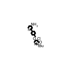 CC(C)(C)n1ncc(OCc2ccc(-c3cc(N)ccn3)cc2)c(Cl)c1=O